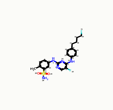 Cc1ccc(Nc2ncc(F)c(Nc3ccc(CCCCF)cc3)n2)cc1S(N)(=O)=O